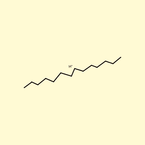 C[CH]CCCCCCCCCCCC.[H+]